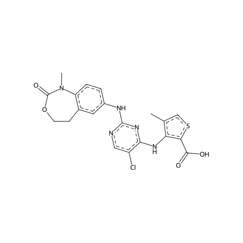 Cc1csc(C(=O)O)c1Nc1nc(Nc2ccc3c(c2)CCOC(=O)N3C)ncc1Cl